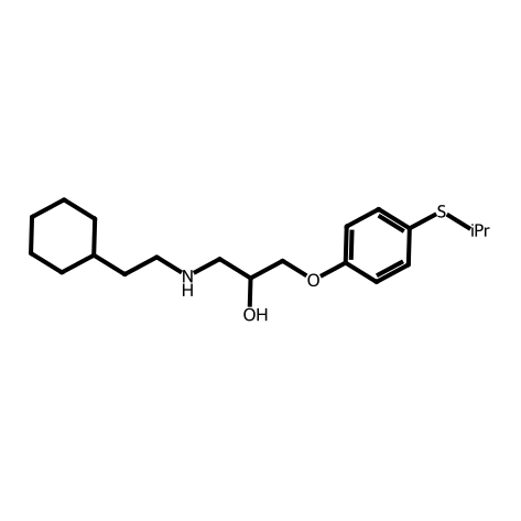 CC(C)Sc1ccc(OCC(O)CNCCC2CCCCC2)cc1